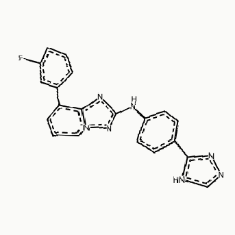 Fc1cccc(-c2cccn3nc(Nc4ccc(-c5nnc[nH]5)cc4)nc23)c1